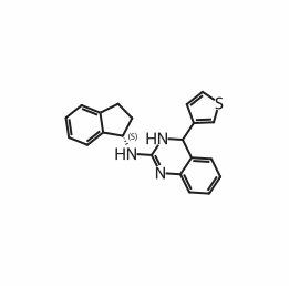 c1ccc2c(c1)CC[C@@H]2NC1=Nc2ccccc2C(c2ccsc2)N1